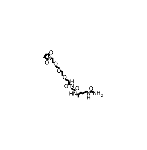 CC(CCCNC(N)=O)NC(=O)CNC(=O)CCOCCOCCOCCN1C(=O)C=CC1=O